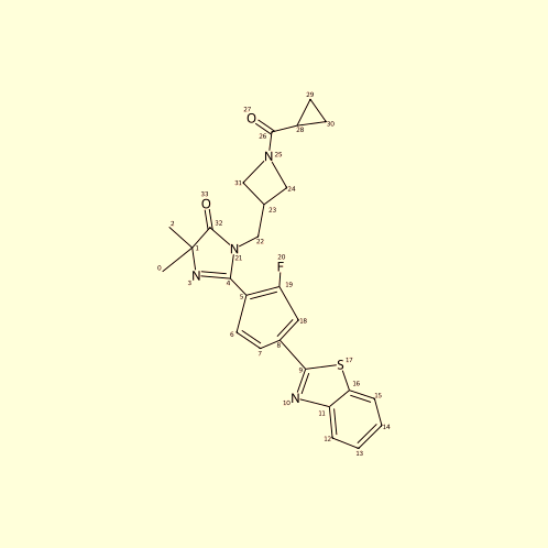 CC1(C)N=C(c2ccc(-c3nc4ccccc4s3)cc2F)N(CC2CN(C(=O)C3CC3)C2)C1=O